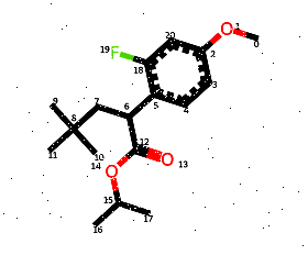 COc1ccc(C(CC(C)(C)C)C(=O)OC(C)C)c(F)c1